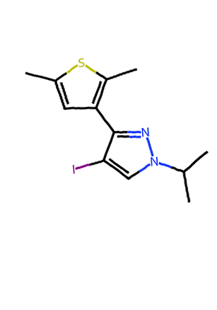 Cc1cc(-c2nn(C(C)C)cc2I)c(C)s1